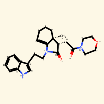 C[C@@]12CCCC=C1N(CCc1c[nH]c3ccccc13)C(=O)[C@H]2CC(=O)N1CCOCC1